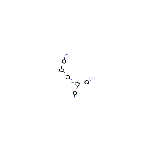 Cc1cc(COc2ccc(C(=N)NC(C)C)cc2)cc(COc2ccc(C(=N)NC(C)Cc3cc(COc4ccc(C(=N)N)cc4)cc(COc4ccc(C(=N)N)cc4)c3)cc2)c1